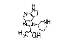 CC(O)c1nc2cnc3[nH]ccc3c2n1C1CCCNC1